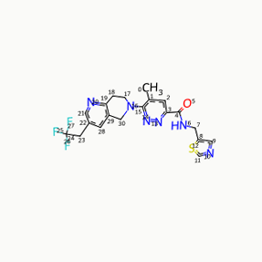 Cc1cc(C(=O)NCc2cncs2)nnc1N1CCc2ncc(CC(F)(F)F)cc2C1